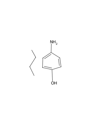 CCCC.Nc1ccc(O)cc1